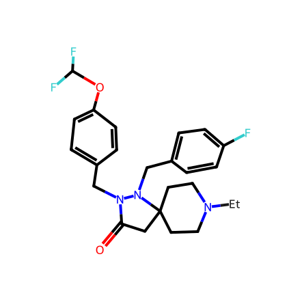 CCN1CCC2(CC1)CC(=O)N(Cc1ccc(OC(F)F)cc1)N2Cc1ccc(F)cc1